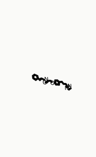 C(=C\c1nc(COc2ccc(CCCn3nccn3)cc2)co1)/c1ccccc1